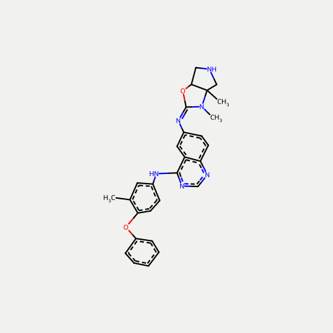 Cc1cc(Nc2ncnc3ccc(N=C4OC5CNCC5(C)N4C)cc23)ccc1Oc1ccccc1